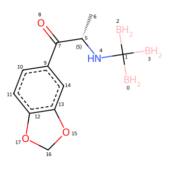 BC(B)(B)N[C@@H](C)C(=O)c1ccc2c(c1)OCO2